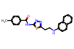 Cc1ccc(C(=O)Nc2nnc(CCNc3ccc4ccccc4c3)s2)cc1